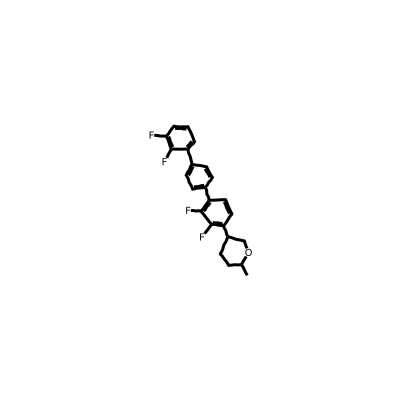 CC1CCC(c2ccc(-c3ccc(-c4cccc(F)c4F)cc3)c(F)c2F)CO1